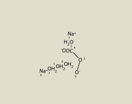 O.O.O.O.O=C([O-])O[O-].[Na+].[Na+]